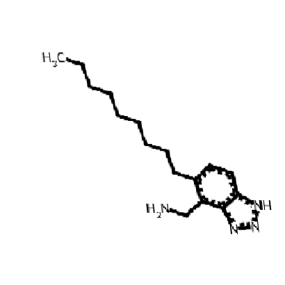 CCCCCCCCCc1ccc2[nH]nnc2c1CN